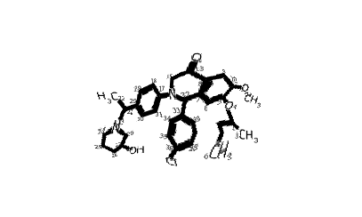 CCC(C)Oc1cc2c(cc1OC)C(=O)CN(c1ccc(C(C)N3CCCC(O)C3)cc1)C2c1ccc(Cl)cc1